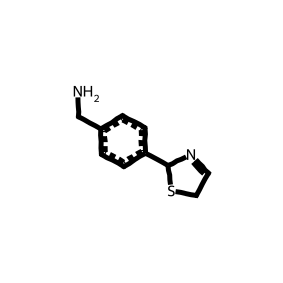 NCc1ccc(C2N=CCS2)cc1